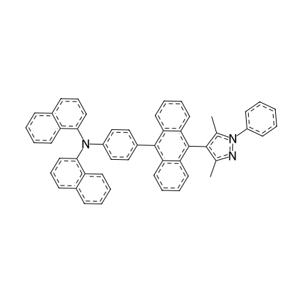 Cc1nn(-c2ccccc2)c(C)c1-c1c2ccccc2c(-c2ccc(N(c3cccc4ccccc34)c3cccc4ccccc34)cc2)c2ccccc12